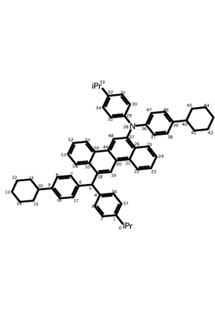 CC(C)c1ccc(C(c2ccc(C3CCCCC3)cc2)c2cc3c4ccccc4c(N(c4ccc(C(C)C)cc4)c4ccc(C5CCCCC5)cc4)cc3c3ccccc23)cc1